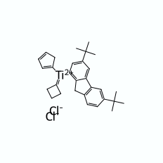 CC(C)(C)c1ccc2c(c1)-c1cc(C(C)(C)C)c[c]([Ti+2]([C]3=CC=CC3)=[C]3CCC3)c1C2.[Cl-].[Cl-]